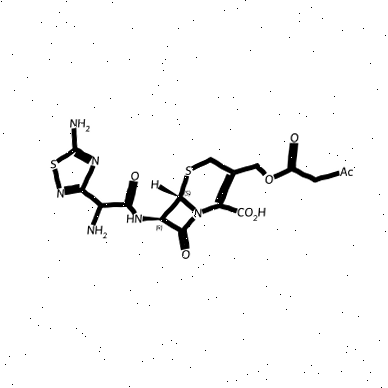 CC(=O)CC(=O)OCC1=C(C(=O)O)N2C(=O)[C@@H](NC(=O)C(N)c3nsc(N)n3)[C@@H]2SC1